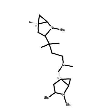 CN(CCC(C)(C)C1C[C@@]2(C)CC2N1C(C)(C)C)C[C@@]12CC(C(C)(C)C)N(C(C)(C)C)C1C2